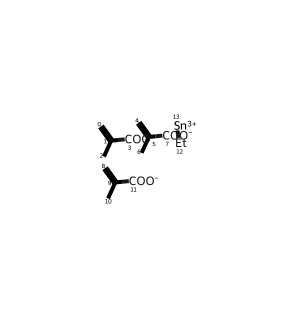 C=C(C)C(=O)[O-].C=C(C)C(=O)[O-].C=C(C)C(=O)[O-].C[CH2][Sn+3]